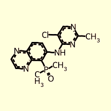 Cc1ncc(Cl)c(Nc2ccc3nccnc3c2P(C)(C)=O)n1